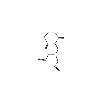 C=CCN(CC=C)CC1C(=O)CCCC1=O